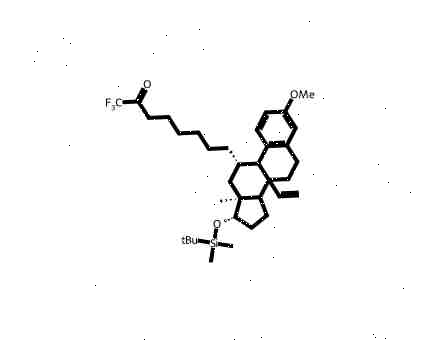 C=CC12CCc3cc(OC)ccc3C1[C@@H](CCCCCCC(=O)C(F)(F)F)C[C@@]1(C)C2CC[C@@H]1O[Si](C)(C)C(C)(C)C